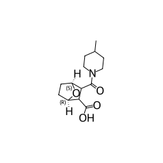 CC1CCN(C(=O)C2C(C(=O)O)[C@H]3CC[C@@H]2O3)CC1